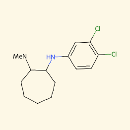 CNC1CCCCCC1Nc1ccc(Cl)c(Cl)c1